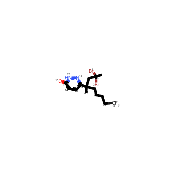 CC(Br)(Br)CC(C)(CCCCC(F)(F)F)c1ccc(=O)[nH]n1